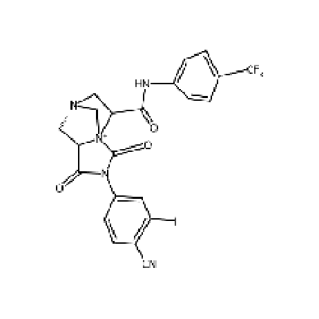 N#Cc1ccc(N2C(=O)C3C[N@]4CC(C(=O)Nc5ccc(C(F)(F)F)cc5)[N+]3(C4)C2=O)cc1I